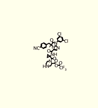 C[C@@]1(Cc2ccc(C#N)cc2)C(=O)N(c2cc(Cl)cc(Cl)c2)c2ncc(C(=O)NC3(C(=O)N4CCNCC4C(=O)OC(=O)C(F)(F)F)CC3)n21